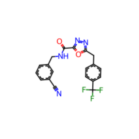 N#Cc1cccc(CNC(=O)c2nnc(Cc3ccc(C(F)(F)F)cc3)o2)c1